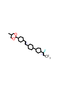 CC1COC(C2CCC(/C=C/C3CCC(C4CCC(/C(F)=C/C(F)(F)F)CC4)CC3)CC2)OC1